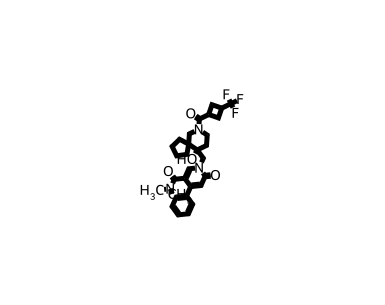 CN(C)C(=O)c1cn(CC2(O)CCN(C(=O)C3CC(C(F)(F)F)C3)CC23CCCC3)c(=O)cc1-c1ccccc1